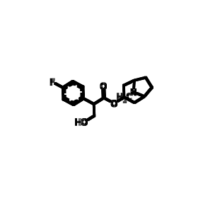 CN1C2CCC1CC(OC(=O)C(CO)c1ccc(F)cc1)C2